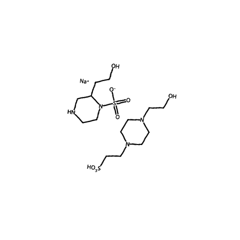 O=S(=O)(O)CCN1CCN(CCO)CC1.O=S(=O)([O-])N1CCNCC1CCO.[Na+]